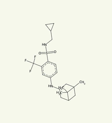 CC12CC(Nc3ccc(S(=O)(=O)NCC4CC4)c(C(F)(F)F)c3)CC(C1)C2(C)C